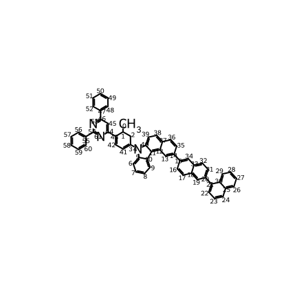 CC1CC(n2c3ccccc3c3c4cc(-c5ccc6cc(-c7cccc8ccccc78)ccc6c5)ccc4ccc32)=CC=C1c1cc(-c2ccccc2)nc(-c2ccccc2)n1